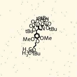 COc1cc(Cc2cnc(N(C(=O)OC(C)(C)C)C(=O)OC(C)(C)C)nc2N(C(=O)OC(C)(C)C)C(=O)OC(C)(C)C)cc(OC)c1OCCCO[Si](C)(C)C(C)(C)C